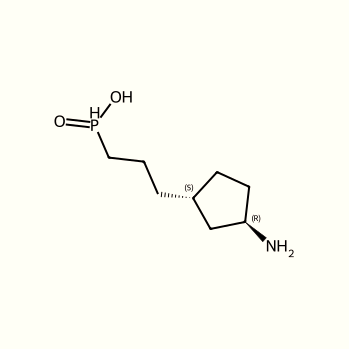 N[C@@H]1CC[C@@H](CCC[PH](=O)O)C1